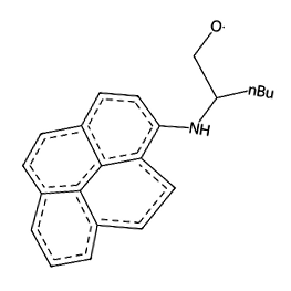 CCCCC(C[O])Nc1ccc2ccc3cccc4ccc1c2c34